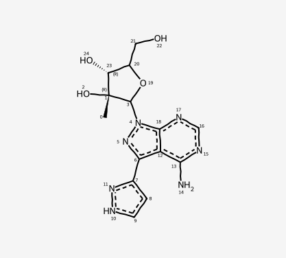 C[C@]1(O)C(n2nc(-c3cc[nH]n3)c3c(N)ncnc32)OC(CO)[C@H]1O